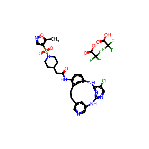 Cc1oncc1S(=O)(=O)N1CCC(CC(=O)Nc2ccc3cc2CCc2cncc(c2)Nc2ncc(Cl)c(n2)N3)CC1.O=C(O)C(F)(F)F.O=C(O)C(F)(F)F